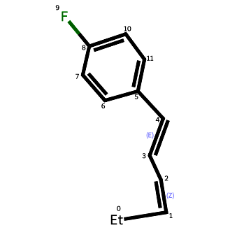 CC/C=C\C=C\c1ccc(F)cc1